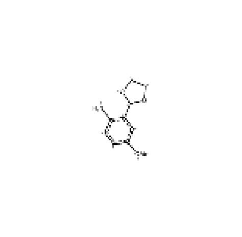 COc1ccc(N)c(C2OCCO2)c1